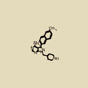 Cc1ccc2cc(-c3nn(CC4CCNCC4)c4ncnc(N)c34)ccc2c1